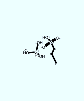 CCCS(=O)(=O)O.O[SiH](O)O